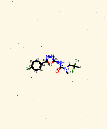 CN(CC(C)(F)F)C(=O)Nc1nnc(-c2ccc(F)cc2)o1